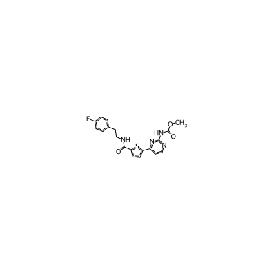 COC(=O)Nc1nccc(-c2ccc(C(=O)NCCc3ccc(F)cc3)s2)n1